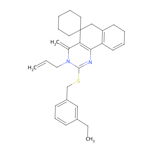 C=CCN1C(=C)C2=C(N=C1SCc1cccc(CC)c1)C1=C(CCC=C1)CC21CCCCC1